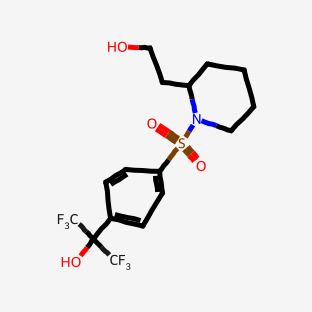 O=S(=O)(c1ccc(C(O)(C(F)(F)F)C(F)(F)F)cc1)N1CCCCC1CCO